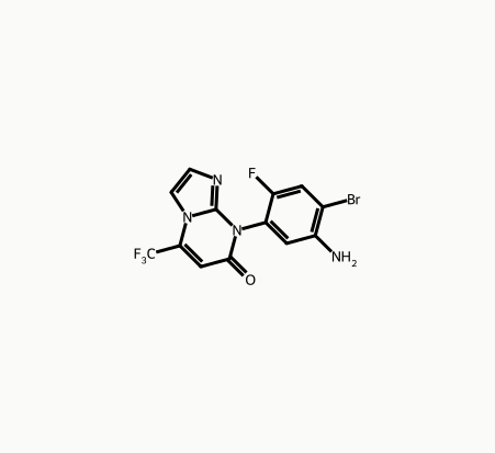 Nc1cc(-n2c(=O)cc(C(F)(F)F)n3ccnc23)c(F)cc1Br